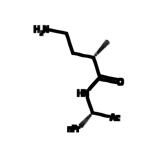 CCC[C@H](NC(=O)[C@@H](C)CCN)C(C)=O